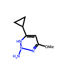 COC1=NN(N)NC(C2CC2)=C1